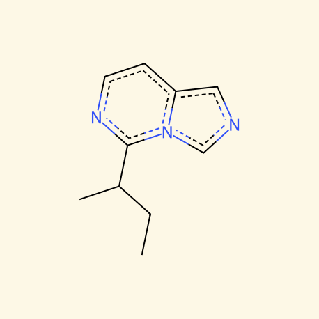 CCC(C)c1nccc2cncn12